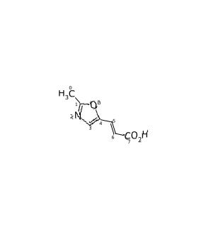 Cc1ncc(/C=C/C(=O)O)o1